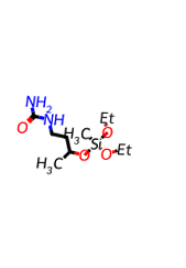 CCO[Si](C)(OCC)OC(C)CCNC(N)=O